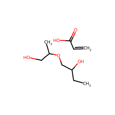 C=CC(=O)O.CCC(O)COC(C)CO